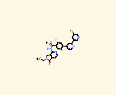 CCN1Cc2c(ccnc2N[C@@H](C)c2cc(F)c(-c3ccnc(-c4cncc(Cl)c4)c3)cc2F)C1=O